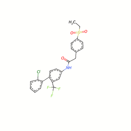 CCS(=O)(=O)c1ccc(CC(=O)Nc2ccc(-c3ccccc3Cl)c(C(F)(F)F)c2)cc1